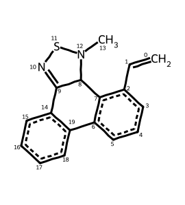 C=Cc1cccc2c1C1C(=NSN1C)c1ccccc1-2